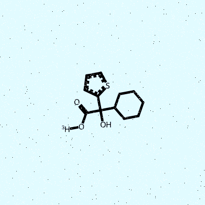 [3H]OC(=O)C(O)(c1cccs1)C1CCCCC1